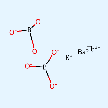 [Ba+2].[K+].[O-]B([O-])[O-].[O-]B([O-])[O-].[Tb+3]